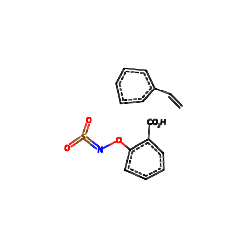 C=Cc1ccccc1.O=C(O)c1ccccc1ON=S(=O)=O